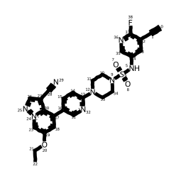 C#Cc1cc(NS(=O)(=O)N2CCN(c3ccc(-c4cc(OCC)cn5ncc(C#N)c45)cn3)CC2)cnc1F